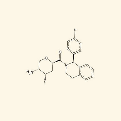 N[C@@H]1CO[C@@H](C(=O)N2CCc3ccccc3[C@@H]2c2ccc(F)cc2)C[C@H]1F